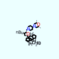 CCCC[C@@H]1C[C@H](C23C[C@@H]4[C@H](C)CC[C@H]4C4(C=O)CC2C=C(C(C)C)[C@]43C(=O)O)O[C@H]1CN1CCC(N2C[C@@H](C)O[C@@H](C)C2)CC1